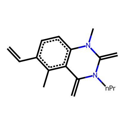 C=Cc1ccc2c(c1C)C(=C)N(CCC)C(=C)N2C